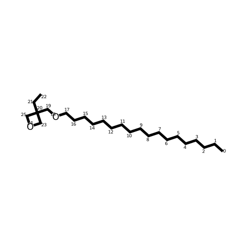 CCCCCCCCCCCCCCCCCCOCC1(CC)COC1